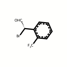 O=C[C@@H](Br)c1ccccc1C(F)(F)F